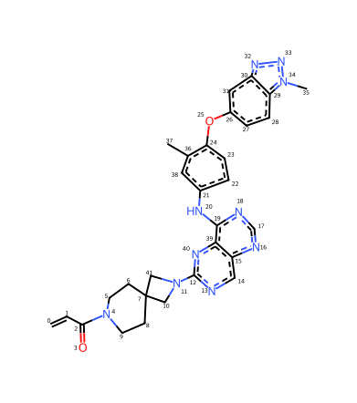 C=CC(=O)N1CCC2(CC1)CN(c1ncc3ncnc(Nc4ccc(Oc5ccc6c(c5)nnn6C)c(C)c4)c3n1)C2